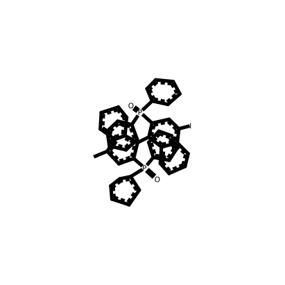 Cc1cc(P(=O)(c2ccccc2)c2ccccc2)c(-c2c(P(=O)(c3ccccc3)c3ccccc3)cc(I)c3ccccc23)c2ccccc12